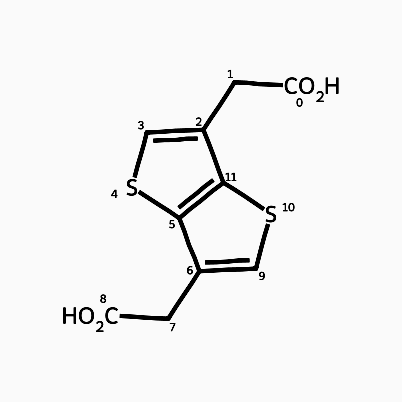 O=C(O)Cc1csc2c(CC(=O)O)csc12